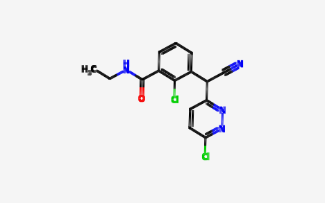 CCNC(=O)c1cccc(C(C#N)c2ccc(Cl)nn2)c1Cl